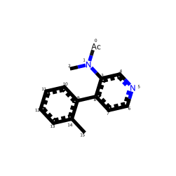 CC(=O)N(C)c1cnccc1-c1ccccc1C